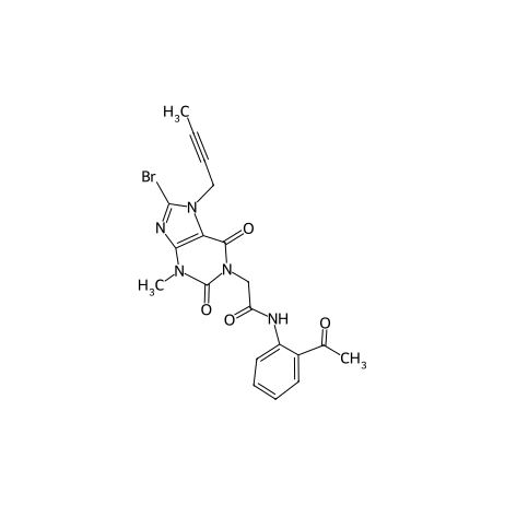 CC#CCn1c(Br)nc2c1c(=O)n(CC(=O)Nc1ccccc1C(C)=O)c(=O)n2C